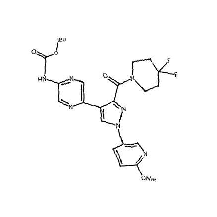 COc1ccc(-n2cc(-c3cnc(NC(=O)OC(C)(C)C)cn3)c(C(=O)N3CCC(F)(F)CC3)n2)cn1